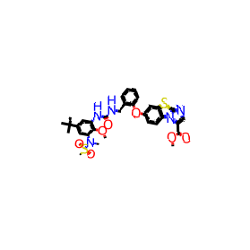 COC(=O)c1cnc2sc3cc(Oc4ccccc4CNC(=O)Nc4cc(C(C)(C)C)cc(N(C)S(C)(=O)=O)c4OC)ccc3n12